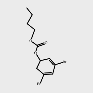 CCCCOC(=O)O[C]1C=C(Br)C=C(Br)C1